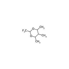 CC1OC(C(F)(F)F)OC(C)C1C